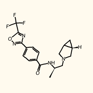 C[C@H](CN1CC2C[C@@H]2C1)NC(=O)c1ccc(-c2noc(C(F)(F)F)n2)cc1